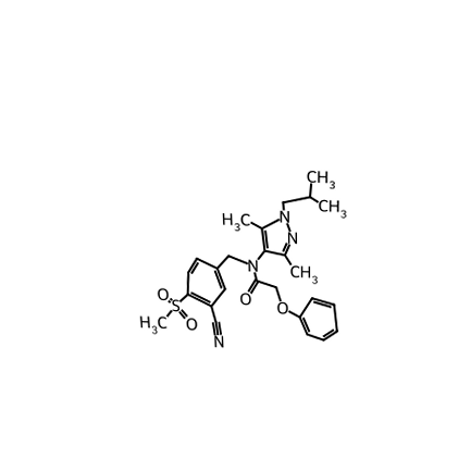 Cc1nn(CC(C)C)c(C)c1N(Cc1ccc(S(C)(=O)=O)c(C#N)c1)C(=O)COc1ccccc1